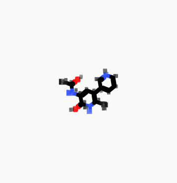 CCC(=O)Nc1cc(-c2cccnc2)c(CC)[nH]c1=O